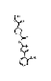 CC(C)(C)OC(=O)N1CCC(C(=O)Nc2ncc(-c3ccccc3N)s2)C1